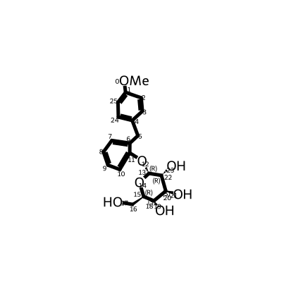 COc1ccc(Cc2ccccc2O[C@H]2O[C@H](CO)[C@@H](O)[C@H](O)[C@H]2O)cc1